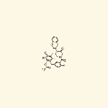 Cc1c(C)c(=O)[nH][n+](OC(=O)C(F)(F)F)c1Cc1ccc(F)c(C(=O)N2CCN(C3COc4ccccc4C3)C(=O)C2)c1